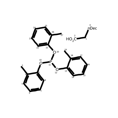 CCCCCCCCCCCC(=O)O.Cc1ccccc1OP(Oc1ccccc1C)Oc1ccccc1C